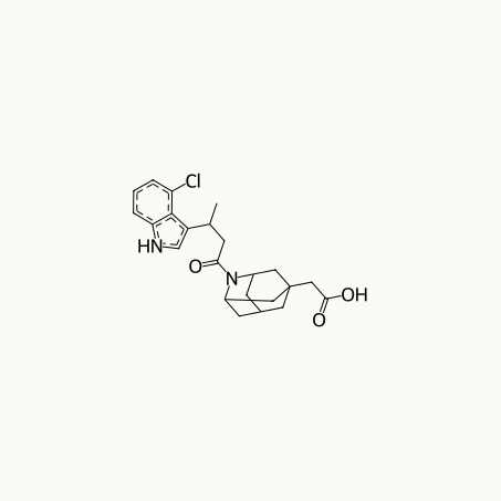 CC(CC(=O)N1C2CC3CC1CC(CC(=O)O)(C3)C2)c1c[nH]c2cccc(Cl)c12